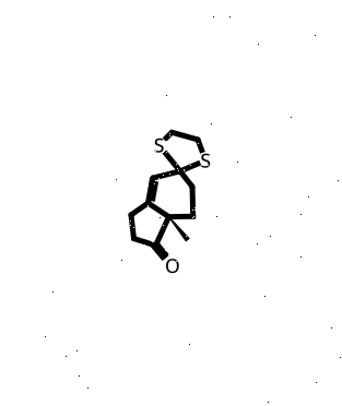 C[C@]12CCC3(C=C1CCC2=O)SCCS3